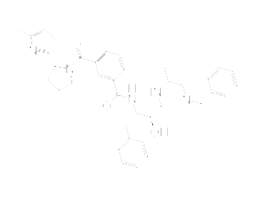 Cc1csc(C2CCCN2C(=O)c2cccc(C(=O)N[C@@H](Cc3ccccc3)[C@H](O)[C@H]3CN(Cc4ccccc4)CC(C)N3)c2)n1